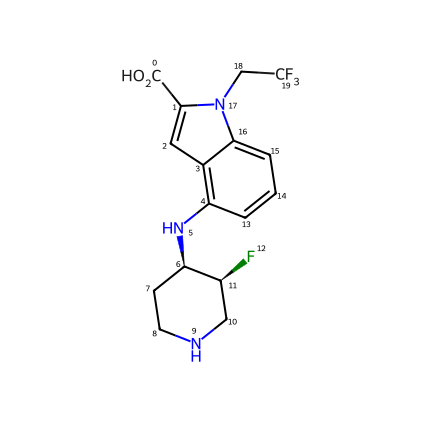 O=C(O)c1cc2c(N[C@@H]3CCNC[C@@H]3F)cccc2n1CC(F)(F)F